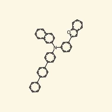 c1ccc(-c2ccc(-c3ccc(N(c4cccc(-c5cc6ccccc6o5)c4)c4ccc5ccccc5c4)cc3)cc2)cc1